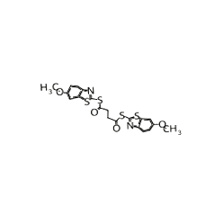 COc1ccc2nc(SC(=O)CCC(=O)Sc3nc4ccc(OC)cc4s3)sc2c1